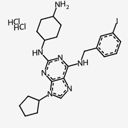 Cl.Cl.NC1CCC(Nc2nc(NCc3cccc(I)c3)c3ncn(C4CCCC4)c3n2)CC1